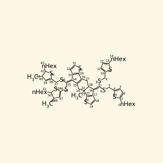 CCCCCCc1ccc(CSC(SCc2ccc(CCCCCC)s2)=C2c3ccsc3C3(C)CC4=C(CC23)c2sccc2/C4=C(\SCC2=CC(C)C(CCCCCC)S2)SC2=CC(C)C(CCCCCC)S2)s1